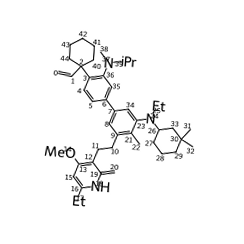 C=CC1(c2ccc(-c3cc(CCC4=C(OC)C=C(CC)NC4=C)c(C)c(N(CC)C4CCCC(C)(C)C4)c3)cc2N(C)C(C)C)CCCCC1